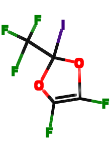 FC1=C(F)OC(I)(C(F)(F)F)O1